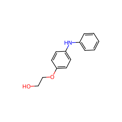 OCCOc1ccc(Nc2ccccc2)cc1